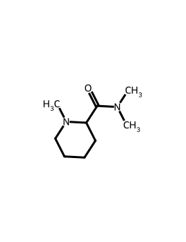 CN(C)C(=O)C1CCCCN1C